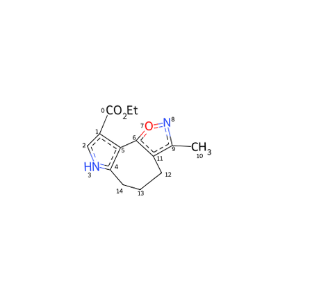 CCOC(=O)c1c[nH]c2c1-c1onc(C)c1CCC2